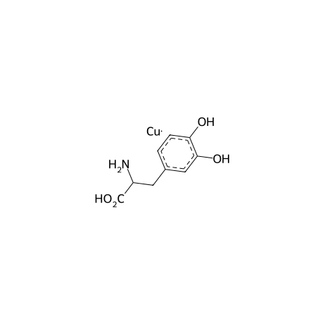 NC(Cc1ccc(O)c(O)c1)C(=O)O.[Cu]